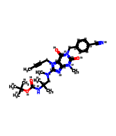 CC#CCn1c(N(C)CC(C)(C)NC(=O)OC(C)(C)C)nc2c1c(=O)n(Cc1ccc(C#N)cc1)c(=O)n2C